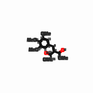 COC(=O)C(=Cc1cc(OC)c(OC)c(OC)c1)C(=O)OC